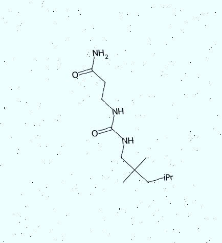 CC(C)CC(C)(C)CNC(=O)NCCC(N)=O